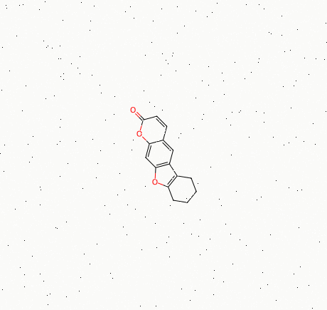 O=c1ccc2cc3c4c(oc3cc2o1)CCCC4